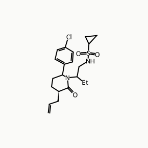 C=CC[C@H]1CCC(c2ccc(Cl)cc2)N(C(CC)CNS(=O)(=O)C2CC2)C1=O